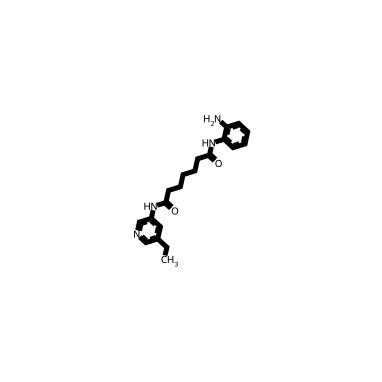 CCc1cncc(NC(=O)CCCCCC(=O)Nc2ccccc2N)c1